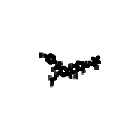 Cn1c(Nc2c(Cl)ccc(CNC(=O)C(C)(C)C)c2F)nc2cc(C(=O)Nc3ccc(Br)cc3)c(OCC(F)F)cc21